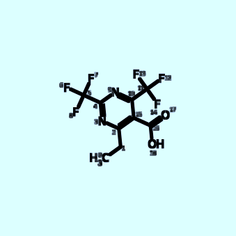 CCc1nc(C(F)(F)F)nc(C(F)(F)F)c1C(=O)O